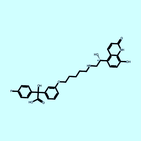 O=C(O)C(O)(c1ccc(F)cc1)c1cccc(OCCCCCNC[C@H](O)c2ccc(O)c3[nH]c(=O)ccc23)c1